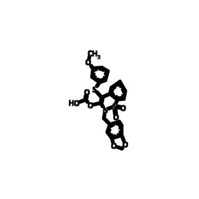 COc1cccc(SC2=C(OC(=O)O)N(Cc3ccc4c(c3)OCO4)S(=O)(=O)c3ccccc32)c1